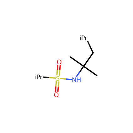 CC(C)CC(C)(C)NS(=O)(=O)C(C)C